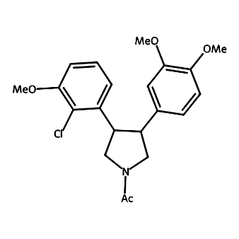 COc1ccc(C2CN(C(C)=O)CC2c2cccc(OC)c2Cl)cc1OC